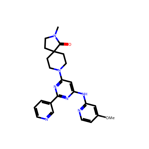 COc1ccnc(Nc2cc(N3CCC4(CCN(C)C4=O)CC3)nc(-c3cccnc3)n2)c1